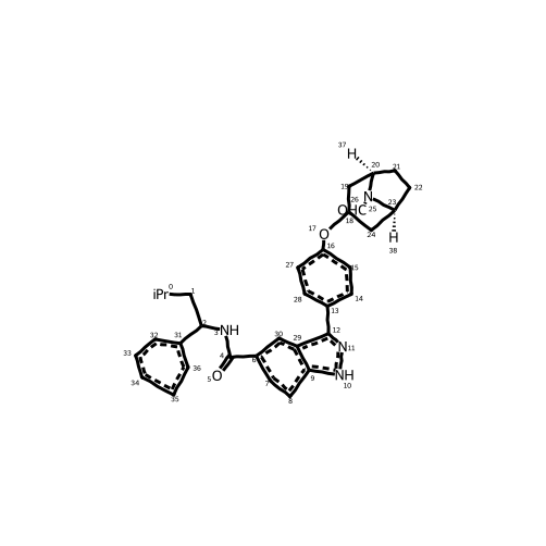 CC(C)CC(NC(=O)c1ccc2[nH]nc(-c3ccc(OC4C[C@H]5CC[C@@H](C4)N5C=O)cc3)c2c1)c1ccccc1